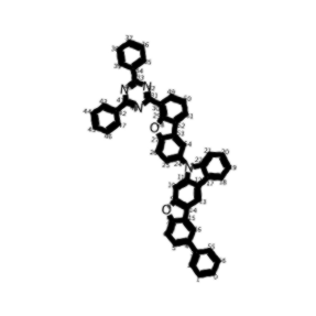 c1ccc(-c2ccc3oc4cc5c(cc4c3c2)c2ccccc2n5-c2ccc3oc4c(-c5nc(-c6ccccc6)nc(-c6ccccc6)n5)cccc4c3c2)cc1